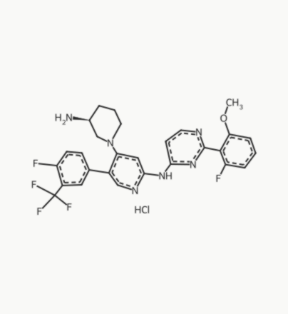 COc1cccc(F)c1-c1nccc(Nc2cc(N3CCC[C@H](N)C3)c(-c3ccc(F)c(C(F)(F)F)c3)cn2)n1.Cl